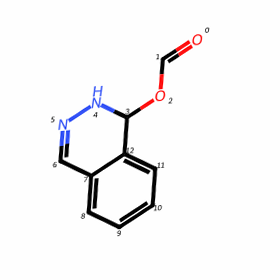 O=COC1NN=Cc2ccccc21